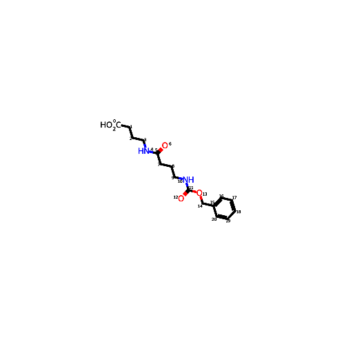 O=C(O)CCCNC(=O)CCCNC(=O)OCc1ccccc1